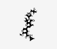 COc1ncc(-c2cc(C)c3c(n2)C(C)(C)N(c2cnn(CC(F)(F)F)c2)C3=O)cc1C(=O)NC1CC1